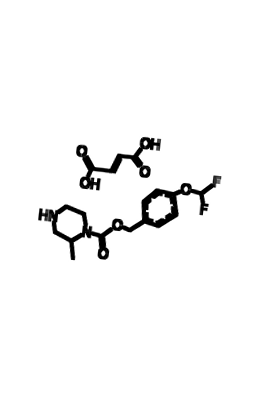 CC1CNCCN1C(=O)OCc1ccc(OC(F)F)cc1.O=C(O)C=CC(=O)O